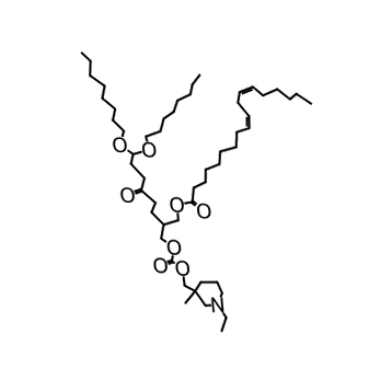 CCCCC/C=C\C/C=C\CCCCCCCC(=O)OCC(CCC(=O)CCC(OCCCCCCCC)OCCCCCCCC)COC(=O)OCC1(C)CCCN(CC)C1